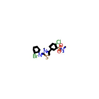 CN(C)S(=O)(=O)c1cc(-c2csc(=Nc3ccccc3Br)n2C)ccc1Cl